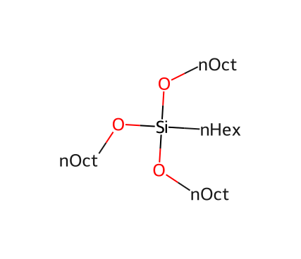 CCCCCCCCO[Si](CCCCCC)(OCCCCCCCC)OCCCCCCCC